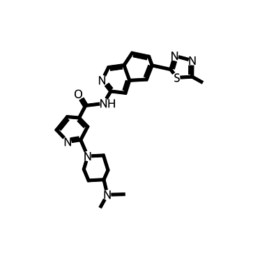 Cc1nnc(-c2ccc3cnc(NC(=O)c4ccnc(N5CCC(N(C)C)CC5)c4)cc3c2)s1